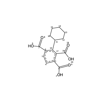 O=C(O)c1ccc(C(=O)O)c(C2CCCCC2)c1C(=O)O